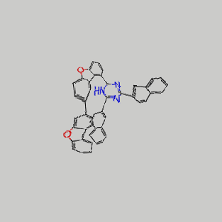 c1ccc2cc(C3=NC(c4cccc5oc6ccc(-c7ccc8c(c7)oc7ccccc78)cc6c45)NC(c4ccc5ccccc5c4)=N3)ccc2c1